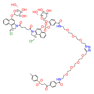 Cc1ccc(S(=O)(=O)CCC(=O)c2ccc(C(=O)NCCOCCOCCOCCOCc3cn(CCOCCOCCOCCNC(=O)c4ccc(O[C@H]5C[C@@H](O)[C@@H](O)[C@@H](CO)O5)c(OS(=O)(=O)Oc5cc6c(c7ccccc57)[C@H](CCl)CN6C(=O)CCCC(=O)N5C[C@@H](CCl)c6c5cc(OC5C[C@@H](O)[C@@H](O)[C@@H](CO)O5)c5ccccc65)c4)nn3)cc2)cc1